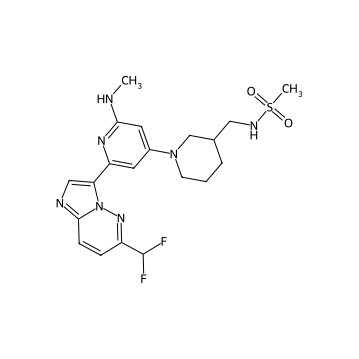 CNc1cc(N2CCCC(CNS(C)(=O)=O)C2)cc(-c2cnc3ccc(C(F)F)nn23)n1